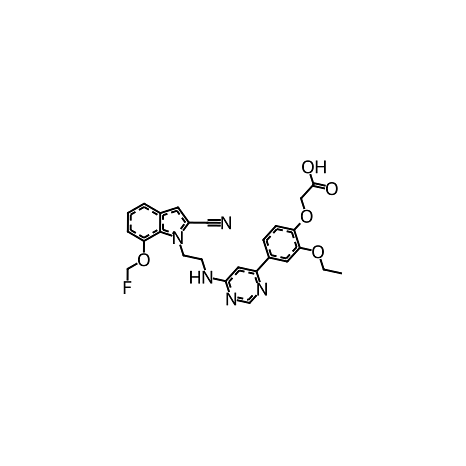 CCOc1cc(-c2cc(NCCn3c(C#N)cc4cccc(OCF)c43)ncn2)ccc1OCC(=O)O